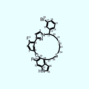 Fc1ccc2cc1-c1ccn(n1)C(c1cccc(Br)c1)CCSCCSCCc1c(c(F)cc3[nH]ccc13)O2